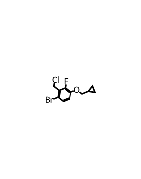 Fc1c(OCC2CC2)ccc(Br)c1CCl